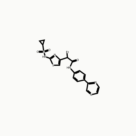 CCC(C(=O)Nc1ccc(-c2cnccn2)cc1)c1csc(NS(=O)(=O)C2CC2)n1